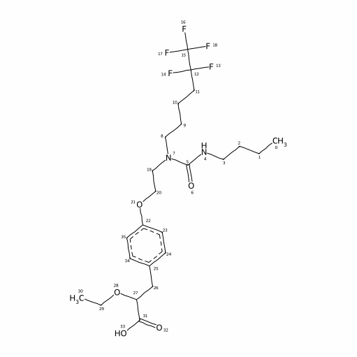 CCCCNC(=O)N(CCCCC(F)(F)C(F)(F)F)CCOc1ccc(CC(OCC)C(=O)O)cc1